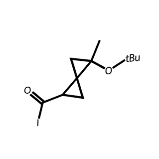 CC(C)(C)OC1(C)CC12CC2C(=O)I